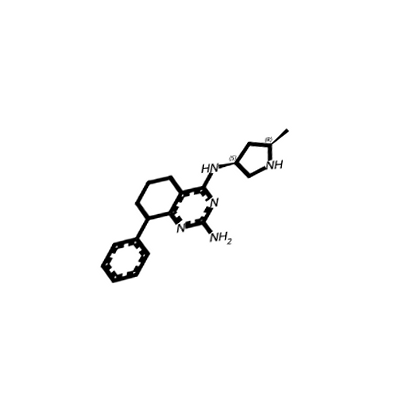 C[C@@H]1C[C@H](Nc2nc(N)nc3c2CCCC3c2ccccc2)CN1